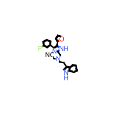 N#CCN(CCc1c[nH]c2ccccc12)Cc1nc(-c2cccc(F)c2)c(-c2ccco2)[nH]1